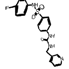 O=C(NCc1cccnc1)Nc1ccc(S(=O)(=O)Nc2ccc(F)cc2)cc1